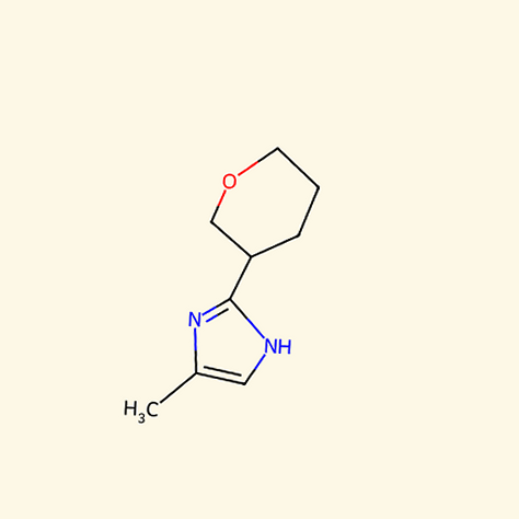 Cc1c[nH]c(C2CCCOC2)n1